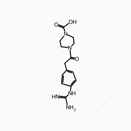 N=C(N)Nc1ccc(CC(=O)N2CCN(C(=O)O)CC2)cc1